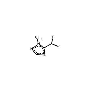 Cn1nc[c]c1C(F)F